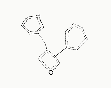 c1ccc(-c2cocc2-c2ccccc2)cc1